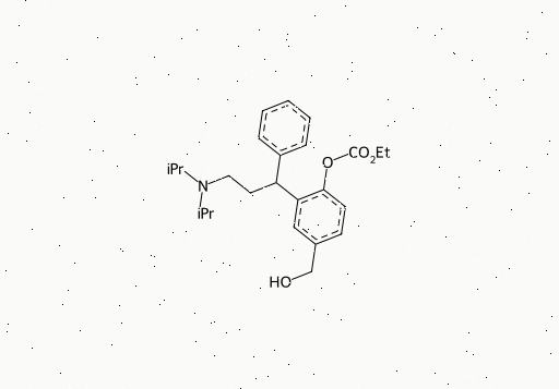 CCOC(=O)Oc1ccc(CO)cc1C(CCN(C(C)C)C(C)C)c1ccccc1